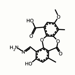 COc1cc(C(=O)O)c2c(c1C)OC(=O)c1c(C)cc(O)c(C=NN)c1O2